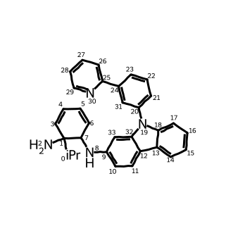 CC(C)C1(N)C=CC=CC1Nc1ccc2c3ccccc3n(-c3cccc(-c4ccccn4)c3)c2c1